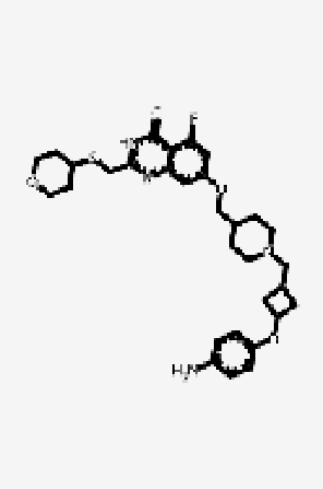 Nc1ccc(OC2CC(CN3CCC(COc4cc(F)c5c(=O)[nH]c(CSC6CCOCC6)nc5c4)CC3)C2)cc1